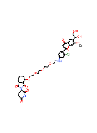 CCOc1cc2oc(-c3ccc(NCCOCCOCCOCCOc4cccc5c4C(=O)N(C4CCC(=O)NC4=O)C5=O)cc3Cl)cc(=O)c2cc1C(O)CO